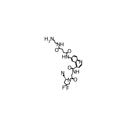 N#C[C@@H]1CC(F)(F)CN1C(=O)CNC(=O)c1ccnc2ccc(NC(=O)CCC(=O)NCCN)cc12